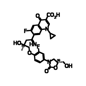 C[C@@](O)(COc1ccc(N2C[C@H](CO)OC2=O)cc1F)CC(=N)c1cc2c(cc1F)c(=O)c(C(=O)O)cn2C1CC1